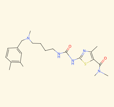 Cc1ccc(CN(C)CCCCNC(=O)Nc2nc(C)c(C(=O)N(C)C)s2)cc1C